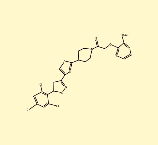 COc1nccnc1OCC(=O)N1CCC(c2nc(C3=NOC(c4c(Cl)cc(Cl)cc4Cl)C3)cs2)CC1